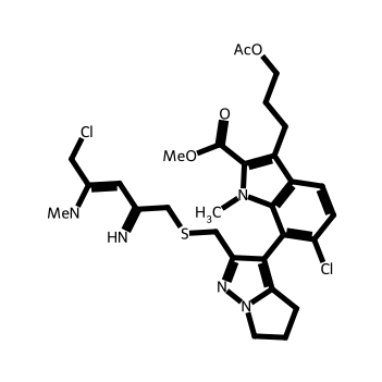 CN/C(=C\C(=N)CSCc1nn2c(c1-c1c(Cl)ccc3c(CCCOC(C)=O)c(C(=O)OC)n(C)c13)CCC2)CCl